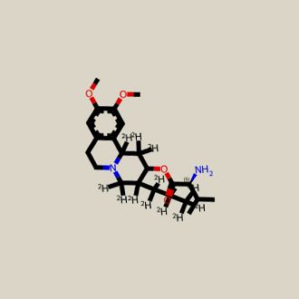 [2H]C([2H])([2H])C([2H])(C)C([2H])([2H])C1([2H])C(OC(=O)[C@@H](N)C(C)C)C([2H])([2H])C2([2H])c3cc(OC)c(OC)cc3CCN2C1([2H])[2H]